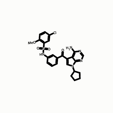 COc1ccc(Cl)cc1S(=O)(=O)Nc1cccc(C(=O)c2cn(C3CCCC3)c3ncnc(N)c23)c1